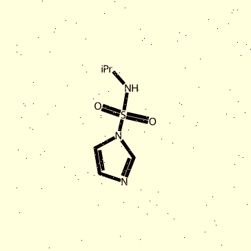 CC(C)NS(=O)(=O)n1ccnc1